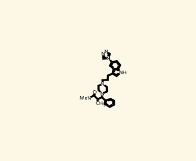 CNC(=O)C(C)C(c1ccccc1)N1CCN(CCCc2c[nH]c3ccc(-n4cnnc4)cc23)CC1